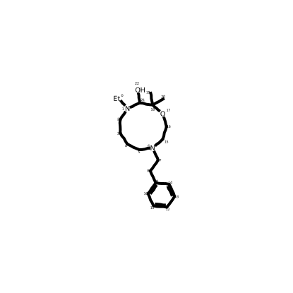 CCN1CCCCN(CCc2ccccc2)CCOC(C)(C)C1O